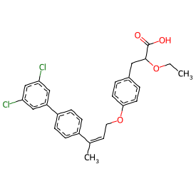 CCOC(Cc1ccc(OC/C=C(/C)c2ccc(-c3cc(Cl)cc(Cl)c3)cc2)cc1)C(=O)O